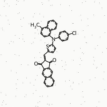 Cc1ccc(N(c2ccc(Cl)cc2)c2ccc(C=C3C(=O)c4cc5ccccc5cc4C3=O)s2)c2ccccc12